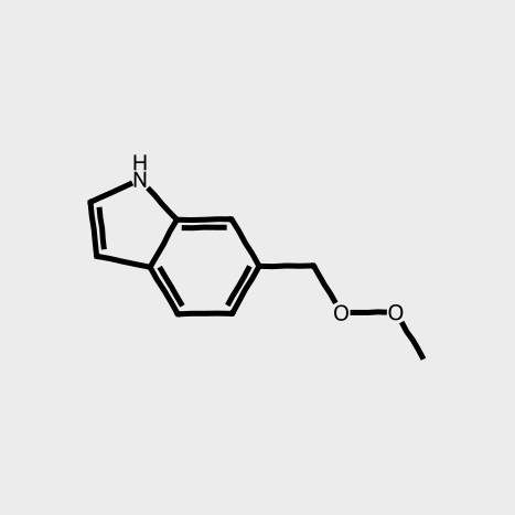 COOCc1ccc2cc[nH]c2c1